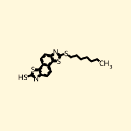 CCCCCCCSc1nc2ccc3c(ccc4nc(S)sc43)c2s1